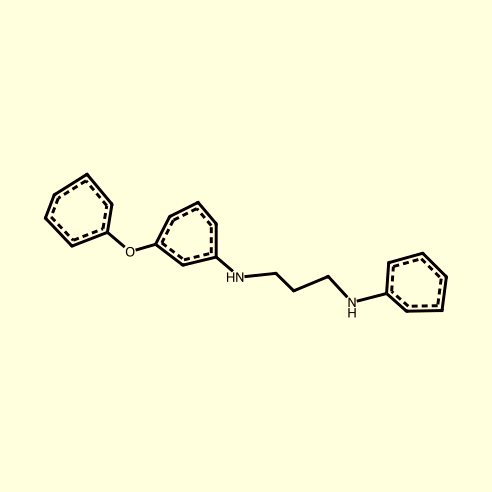 c1ccc(NCCCNc2cccc(Oc3ccccc3)c2)cc1